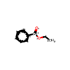 CC[O][Sn](=[O])[c]1ccccc1